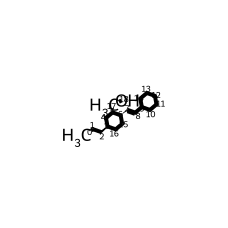 CCC[C@H]1CC[C@H](C=CC2CCCCC2)CC1.CO